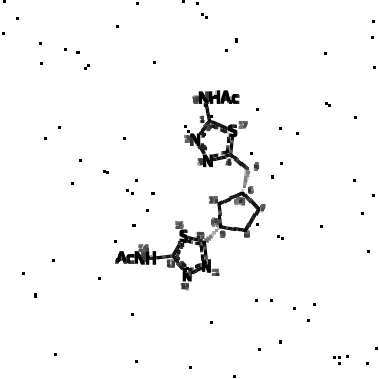 CC(=O)Nc1nnc(C[C@@H]2CC[C@H](c3nnc(NC(C)=O)s3)C2)s1